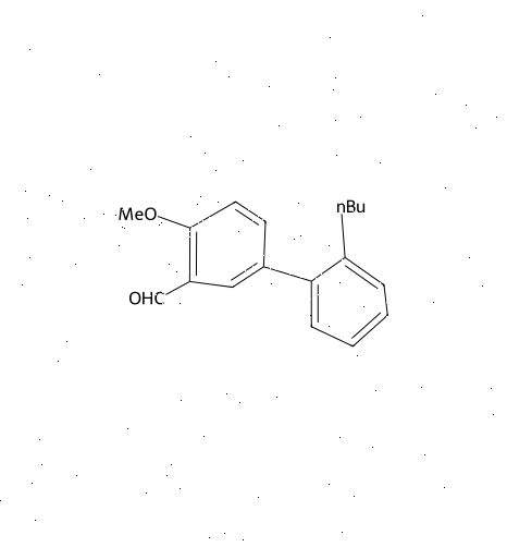 CCCCc1ccccc1-c1ccc(OC)c(C=O)c1